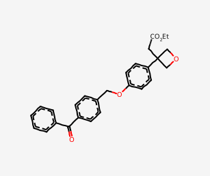 CCOC(=O)CC1(c2ccc(OCc3ccc(C(=O)c4ccccc4)cc3)cc2)COC1